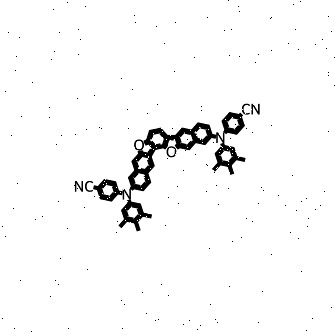 Cc1cc(N(c2ccc(C#N)cc2)c2ccc3cc4c(cc3c2)oc2c4ccc3oc4cc5cc(N(c6ccc(C#N)cc6)c6cc(C)c(C)c(C)c6)ccc5cc4c32)cc(C)c1C